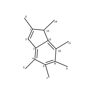 CC1=[C]c2c(C)c(C)c(C)c(C)c2C1C